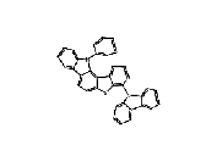 c1ccc(-n2c3ccccc3c3ccc4sc5c(-n6c7ccccc7c7ccccc76)nccc5c4c32)cc1